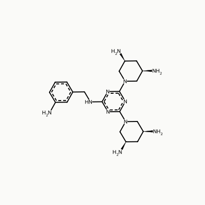 Nc1cccc(CNc2nc(N3C[C@H](N)C[C@H](N)C3)nc(N3C[C@H](N)C[C@H](N)C3)n2)c1